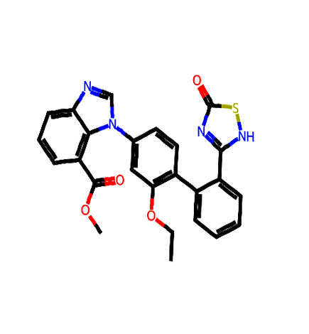 CCOc1cc(-n2cnc3cccc(C(=O)OC)c32)ccc1-c1ccccc1-c1nc(=O)s[nH]1